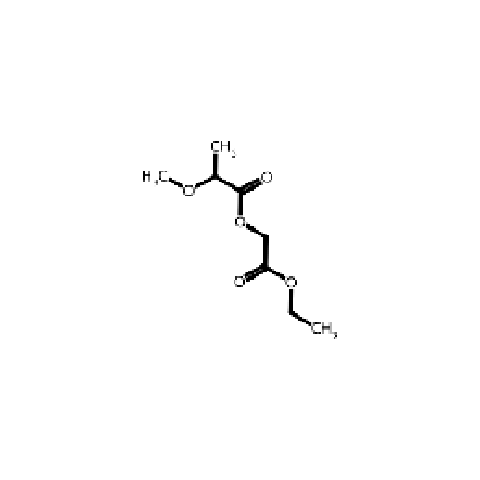 CCOC(=O)COC(=O)C(C)OC